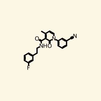 Cc1ccn(-c2cccc(C#N)c2)c(=O)c1C(=O)NCCc1cccc(F)c1